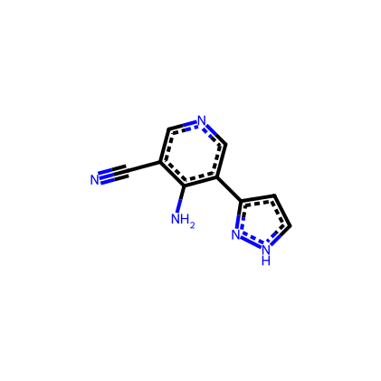 N#Cc1cncc(-c2cc[nH]n2)c1N